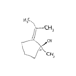 CC(C)=C1CCC[C@]1(C)C#N